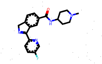 CN1CCC(NC(=O)c2ccc3c(c2)C(c2ccc(F)cn2)=NC3)CC1